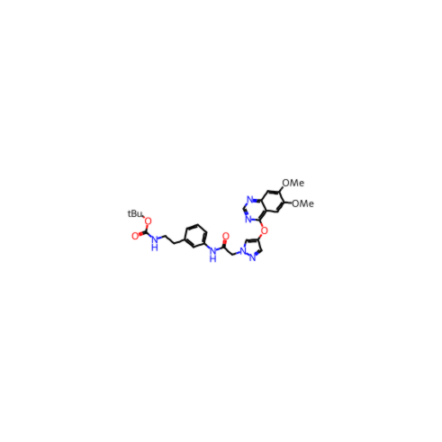 COc1cc2ncnc(Oc3cnn(CC(=O)Nc4cccc(CCNC(=O)OC(C)(C)C)c4)c3)c2cc1OC